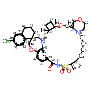 C[C@@H]1[C@@H](C)CCCCN2CCOC[C@H]2CO[C@@H]2CC[C@H]2CN2C[C@@]3(CCCc4cc(Cl)ccc43)COc3ccc(cc32)C(=O)NS1(=O)=O